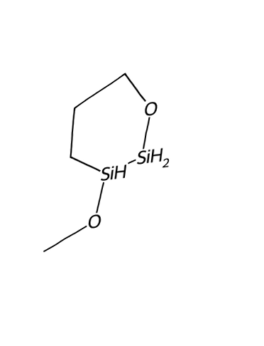 CO[SiH]1CCCO[SiH2]1